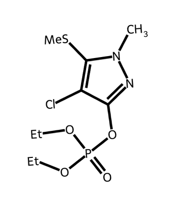 CCOP(=O)(OCC)Oc1nn(C)c(SC)c1Cl